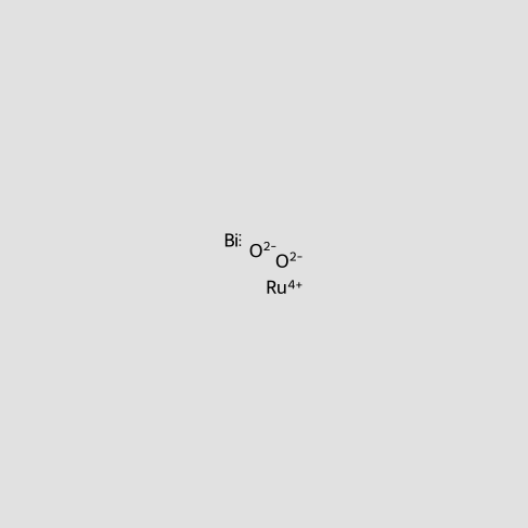 [Bi].[O-2].[O-2].[Ru+4]